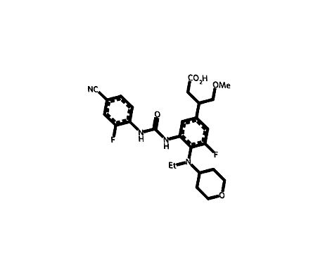 CCN(c1c(F)cc(C(COC)CC(=O)O)cc1NC(=O)Nc1ccc(C#N)cc1F)C1CCOCC1